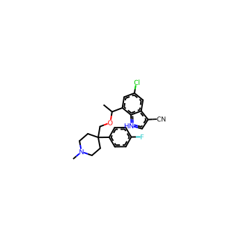 CC(OCC1(c2ccc(F)cc2)CCN(C)CC1)c1cc(Cl)cc2c(C#N)c[nH]c12